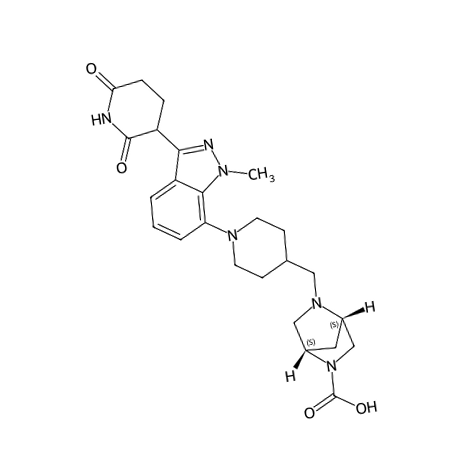 Cn1nc(C2CCC(=O)NC2=O)c2cccc(N3CCC(CN4C[C@@H]5C[C@H]4CN5C(=O)O)CC3)c21